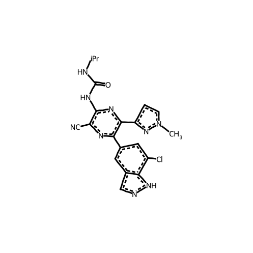 CC(C)NC(=O)Nc1nc(-c2ccn(C)n2)c(-c2cc(Cl)c3[nH]ncc3c2)nc1C#N